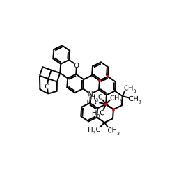 CC1(C)CCC(C)(C)c2c(N(c3ccc4c(c3-c3ccccc3)Oc3ccccc3C43C4CC5CC6CC3C64C5)c3cccc4c3C(C)(C)CCC4(C)C)cccc21